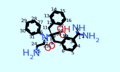 N=C(N)c1cccc(C(=O)[C@@](Cc2ccccc2)(C(=O)O)N(C(=O)CN)c2ccccc2)c1